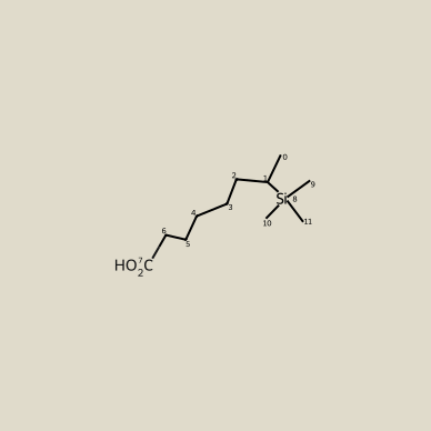 CC(CCCCCC(=O)O)[Si](C)(C)C